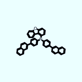 c1ccc2cc(-c3ccc(N(c4ccc(-c5ccc6ccccc6c5)cc4)c4cccc5oc6ccccc6c45)cc3)ccc2c1